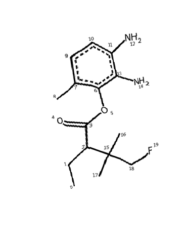 CCC(C(=O)Oc1c(C)ccc(N)c1N)C(C)(C)CF